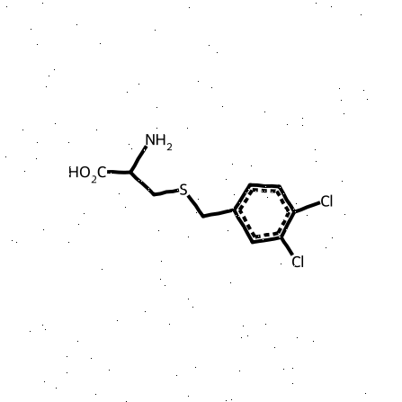 NC(CSCc1ccc(Cl)c(Cl)c1)C(=O)O